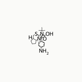 CC(C)(C)N(C(=O)O)C1=N[C@@]2(c3cc(N)ccc3F)CCC[C@H]2CS1